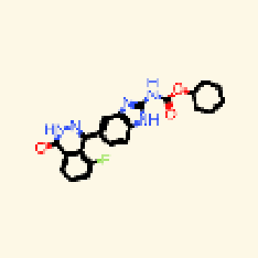 O=C(Nc1nc2cc(-c3n[nH]c(=O)c4cccc(F)c34)ccc2[nH]1)OC1CCCCC1